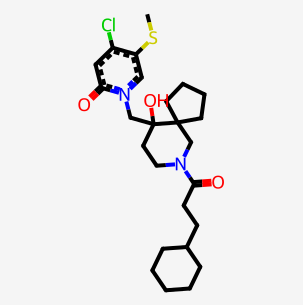 CSc1cn(CC2(O)CCN(C(=O)CCC3CCCCC3)CC23CCCC3)c(=O)cc1Cl